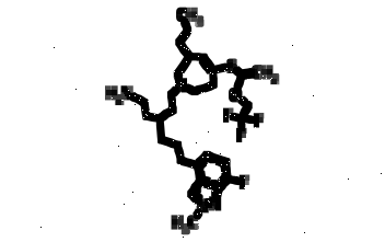 C=C(OCC(F)(F)F)SC1=CC(CCC)CN(CCC(CCN)CCCc2ccc(F)c3nn(C)cc23)CC1